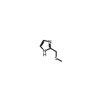 CSCc1ncc[nH]1